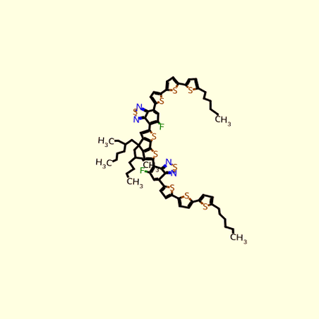 CCCCCCc1ccc(-c2ccc(-c3ccc(-c4cc(F)c(-c5cc6c(s5)-c5sc(-c7c(F)cc(-c8ccc(-c9ccc(-c%10ccc(CCCCCC)s%10)s9)s8)c8nsnc78)cc5C6(CC(CC)CCCC)CC(CC)CCCC)c5nsnc45)s3)s2)s1